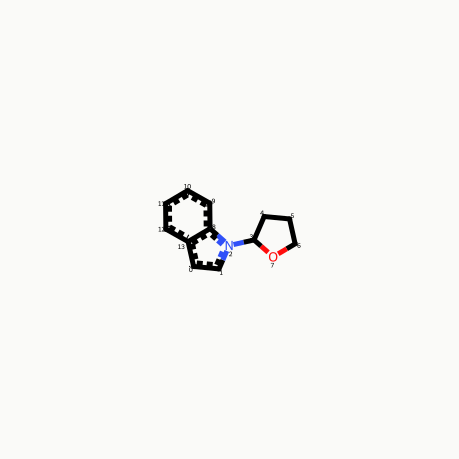 [c]1cn(C2CCCO2)c2ccccc12